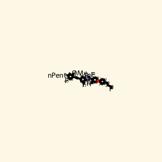 CCCCCc1cc(OC)c(C#Cc2cc(F)c(/C(F)=C(\F)c3c(F)cc(-c4ccc(CCCF)cc4)cc3F)c(F)c2)cc1F